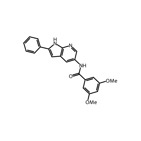 COc1cc(OC)cc(C(=O)Nc2cnc3[nH]c(-c4ccccc4)cc3c2)c1